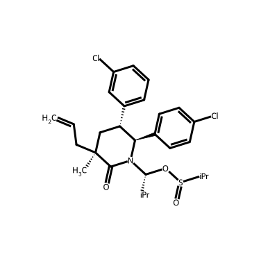 C=CC[C@@]1(C)C[C@H](c2cccc(Cl)c2)[C@@H](c2ccc(Cl)cc2)N([C@H](OS(=O)C(C)C)C(C)C)C1=O